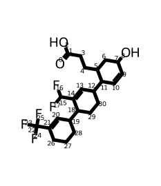 O=C(O)CCC1CC(O)C=CC1C1C=C(C(F)F)C(C2C=C(C(F)(F)F)CCC2)CC1